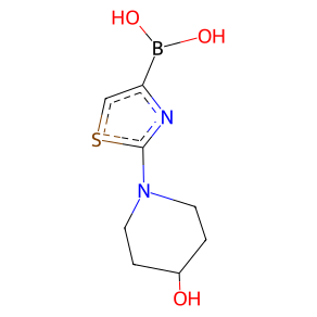 OB(O)c1csc(N2CCC(O)CC2)n1